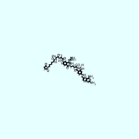 CC(C)[C@H](NC(=O)CCCCCN1C(=O)C=CC1=O)C(=O)N[C@@H](C)C(=O)Nc1ccc(C(=O)NCCC[C@H](NC(=O)c2ccc(NCc3cnc4nc(N)nc(N)c4n3)cc2O)C(=O)O)c(/C(N)=N/NN)c1